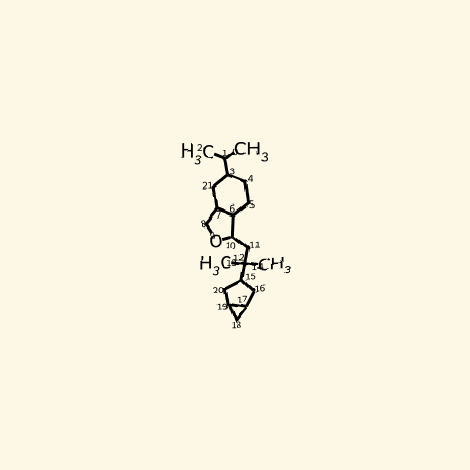 CC(C)C1CCC2C(COC2CC(C)(C)C2CC3CC3C2)C1